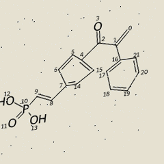 C=C(C(=O)c1ccc(C=CP(=O)(O)O)cc1)c1ccccc1